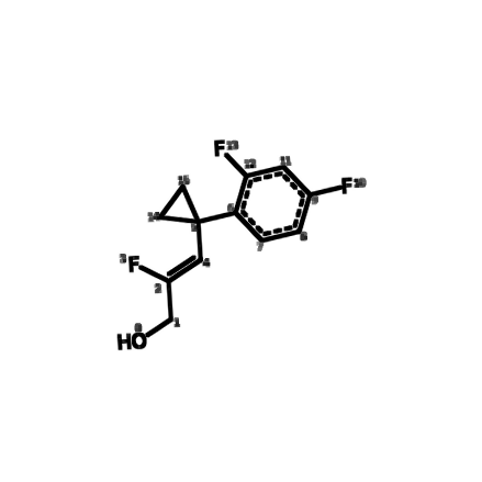 OCC(F)=CC1(c2ccc(F)cc2F)CC1